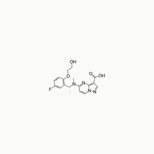 C[C@H](c1cc(F)ccc1OCCO)N(C)c1ccn2ncc(C(=O)O)c2n1